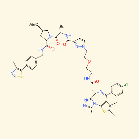 CO[C@@H]1C[C@@H](C(=O)NCc2ccc(-c3scnc3C)cc2)N(C(=O)[C@@H](NC(=O)c2ccn(CCOCCNC(=O)C[C@@H]3N=C(c4ccc(Cl)cc4)c4c(sc(C)c4C)-n4c(C)nnc43)n2)C(C)(C)C)C1